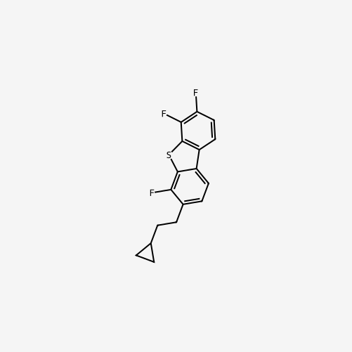 Fc1ccc2c(sc3c(F)c(CCC4CC4)ccc32)c1F